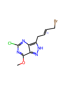 COc1nc(Cl)nc2c(C/C=C/CBr)[nH]nc12